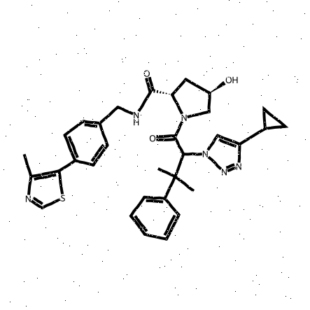 Cc1ncsc1-c1ccc(CNC(=O)[C@@H]2C[C@@H](O)CN2C(=O)C(n2cc(C3CC3)nn2)C(C)(C)c2ccccc2)cc1